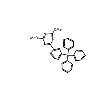 COc1nc(OC)nc(-c2cccc([Si](c3ccccc3)(c3ccccc3)c3ccccc3)c2)n1